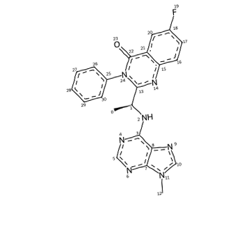 C[C@H](Nc1ncnc2c1ncn2C)c1nc2ccc(F)cc2c(=O)n1-c1ccccc1